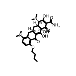 CCCCOc1ccc(N(C)C)c2c1C(=O)C1=C(O)[C@]3(O)C(=O)C(C(N)=O)=C(O)[C@@H](N(C)C)[C@@H]3C[C@@H]1C2